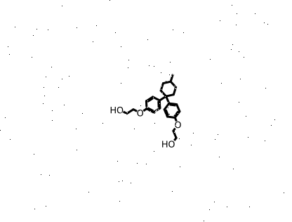 CC1CCC(c2ccc(OCCO)cc2)(c2ccc(OCCO)cc2)CC1